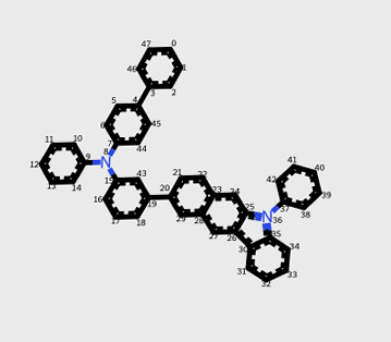 c1ccc(-c2ccc(N(c3ccccc3)c3cccc(-c4ccc5cc6c(cc5c4)c4ccccc4n6-c4ccccc4)c3)cc2)cc1